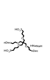 CCCCCCCCCCCCOCC(COCCCCCCCCCCCC)(COCCCS(=O)(=O)O)COCCCS(=O)(=O)O.[NaH].[NaH]